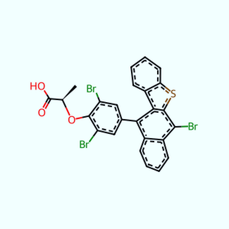 C[C@@H](Oc1c(Br)cc(-c2c3ccccc3c(Br)c3sc4ccccc4c23)cc1Br)C(=O)O